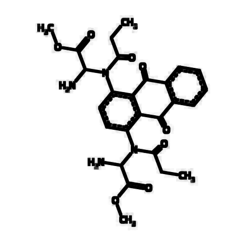 CCC(=O)N(c1ccc(N(C(=O)CC)C(N)C(=O)OC)c2c1C(=O)c1ccccc1C2=O)C(N)C(=O)OC